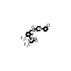 O=C(NCc1ccc(C(F)(F)F)c(-c2nc(C(F)(F)F)cc(=O)[nH]2)c1F)C1CCN(c2cccc(Cl)c2)CC1